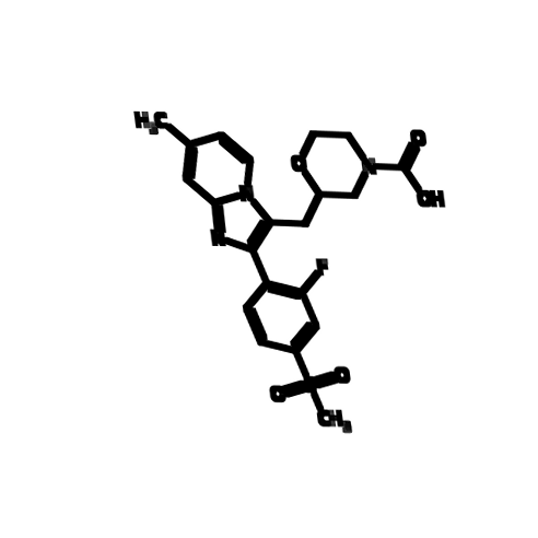 Cc1ccn2c(CC3CN(C(=O)O)CCO3)c(-c3ccc(S(C)(=O)=O)cc3F)nc2c1